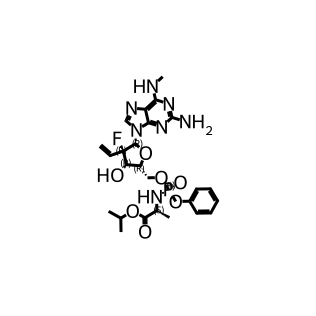 C=C[C@@]1(F)[C@H](O)[C@@H](CO[P@](=O)(N[C@@H](C)C(=O)OC(C)C)Oc2ccccc2)O[C@H]1n1cnc2c(NC)nc(N)nc21